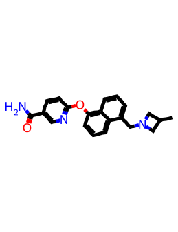 CC1CN(Cc2cccc3c(Oc4ccc(C(N)=O)cn4)cccc23)C1